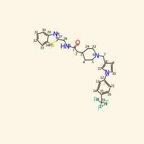 O=C(CC1CCN(Cc2ccn(-c3ccc(C(F)(F)F)cc3)c2)CC1)NCc1nc2ccccc2s1